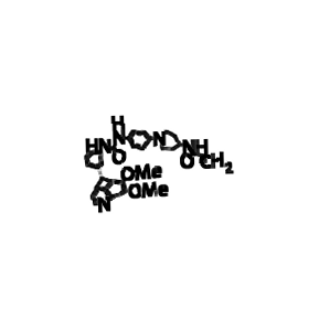 C=CC(=O)NC1CCN(c2ccc(NC(=O)Nc3cccc([C@H]4c5ccnc6cc(OC)c(OC)c4c56)c3)cc2)CC1